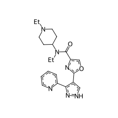 CCN1CCC(N(CC)C(=O)c2coc(-c3c[nH]nc3-c3ccccn3)n2)CC1